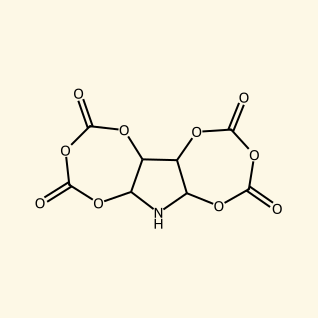 O=C1OC(=O)OC2C(NC3OC(=O)OC(=O)OC32)O1